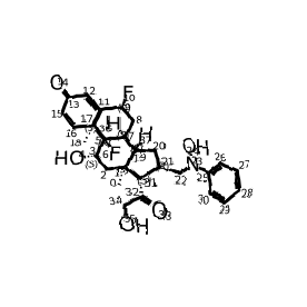 C[C@]12C[C@H](O)[C@@]3(F)[C@@H](C[C@H](F)C4=CC(=O)C=C[C@@]43C)[C@@H]1C[C@@H](CN(O)c1ccccc1)[C@@H]2C(=O)CO